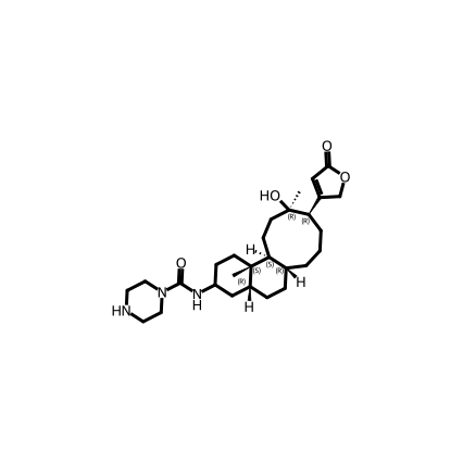 C[C@]12CCC(NC(=O)N3CCNCC3)C[C@H]1CC[C@H]1CCC[C@H](C3=CC(=O)OC3)[C@](C)(O)CC[C@@H]12